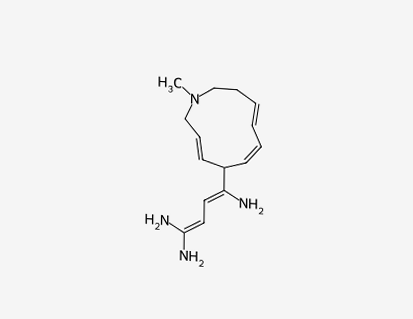 CN1C/C=C/C(/C(N)=C/C=C(N)N)C=C/C=C/CC1